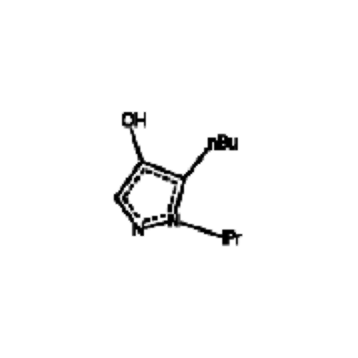 CCCCc1c(O)cnn1C(C)C